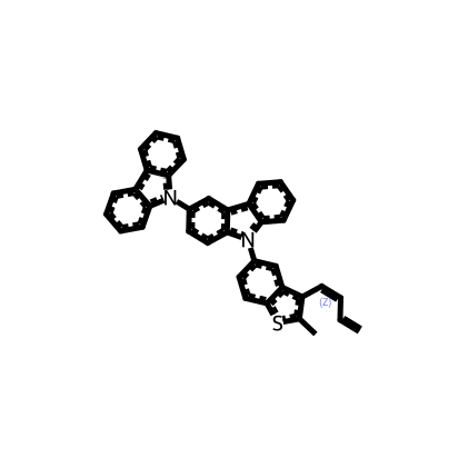 C=C/C=C\c1c(C)sc2ccc(-n3c4ccccc4c4cc(-n5c6ccccc6c6ccccc65)ccc43)cc12